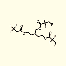 O=C(CC(F)(F)F)OCCC(CCOC(=O)C(F)(F)CF)COC(=O)C(F)(F)CF